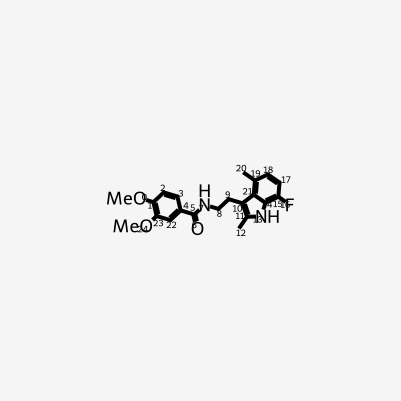 COc1ccc(C(=O)NCCc2c(C)[nH]c3c(F)ccc(C)c23)cc1OC